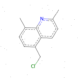 Cc1ccc2c(CCl)ccc(C)c2n1